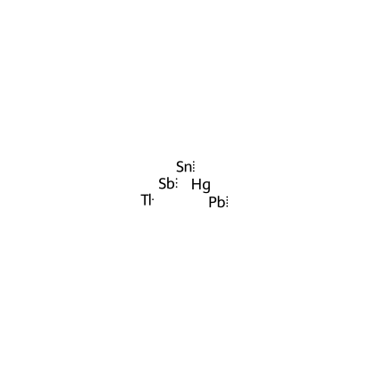 [Hg].[Pb].[Sb].[Sn].[Tl]